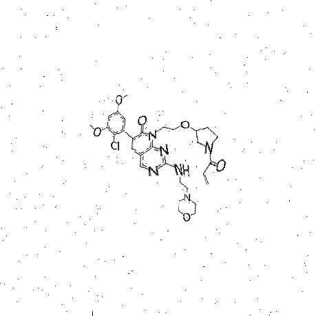 C=CC(=O)N1CCC(OCCn2c(=O)c(-c3cc(OC)cc(OC)c3Cl)cc3cnc(NCCN4CCOCC4)nc32)C1